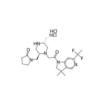 C[C@@H]1CN(CC(=O)N2CC(C)(C)c3cnc(C(C)(F)F)cc32)[C@@H](CN2CCCC2=O)CN1.Cl.Cl